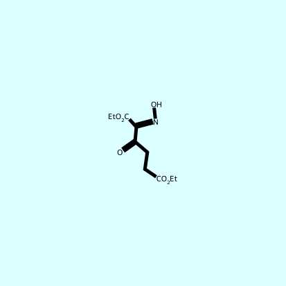 CCOC(=O)CCC(=O)C(=NO)C(=O)OCC